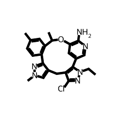 CCn1nc(Cl)c2c1-c1cnc(N)c(c1)OC(C)c1cc(C)ccc1-c1nn(C)cc1C2